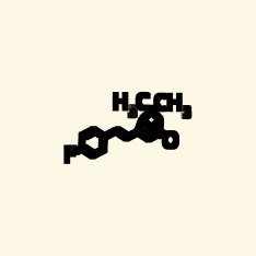 CC1(C)C2CC1C(C=Cc1ccc(F)cc1)=CC2=O